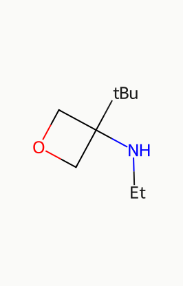 CCNC1(C(C)(C)C)COC1